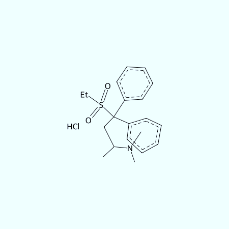 CCS(=O)(=O)C(CC(C)N(C)C)(c1ccccc1)c1ccccc1.Cl